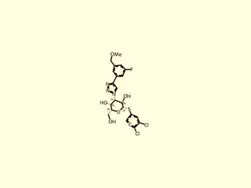 COCc1cc(F)cc(-c2cn([C@H]3[C@@H](O)[C@@H](CO)O[C@@H](Sc4ccc(Cl)c(Cl)c4)[C@@H]3O)nn2)c1